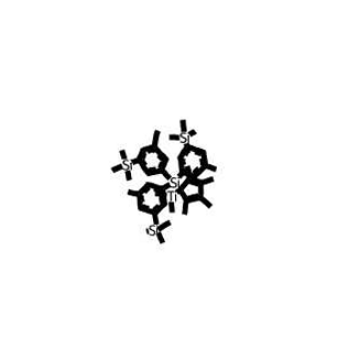 CC1=C(C)[C]([Ti]([CH3])[CH3])([Si](c2cc(C)cc([Si](C)(C)C)c2)(c2cc(C)cc([Si](C)(C)C)c2)c2cc(C)cc([Si](C)(C)C)c2)C(C)=C1C